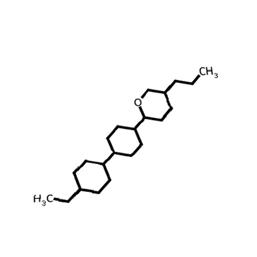 CCCC1CCC(C2CCC(C3CCC(CC)CC3)CC2)OC1